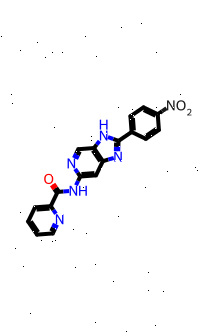 O=C(Nc1cc2nc(-c3ccc([N+](=O)[O-])cc3)[nH]c2cn1)c1ccccn1